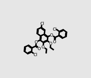 CCOc1c(OCC)c(OC(=O)c2ccccc2Cl)c2cc(Cl)ccc2c1OC(=O)c1ccccc1Cl